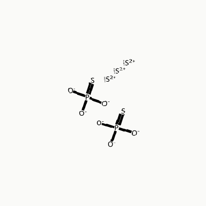 [O-]P([O-])([O-])=S.[O-]P([O-])([O-])=S.[S+2].[S+2].[S+2]